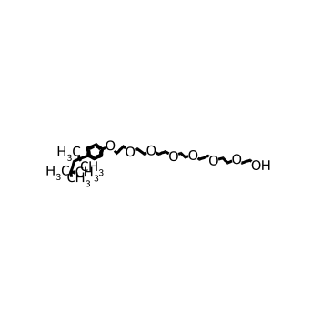 CC(C)(C)CC(C)(C)c1ccc(OCCOCCOCCOCCOCCOCCOCCO)cc1